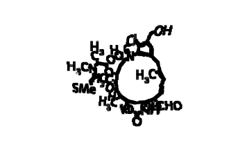 CSCC(=O)N(C)[C@@H](C)C(=O)O[C@H]1CC(=O)N(C)c2cc(cc(CO)c2Cl)C/C(C)=C/C=C/[C@@H](C=O)[C@@]2(O)C[C@H](OC(=O)N2)[C@@H](C)[C@@H]2O[C@@]12C